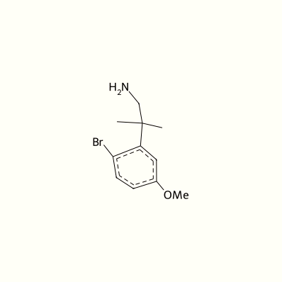 COc1ccc(Br)c(C(C)(C)CN)c1